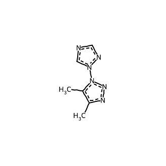 Cc1nnn(-n2cncn2)c1C